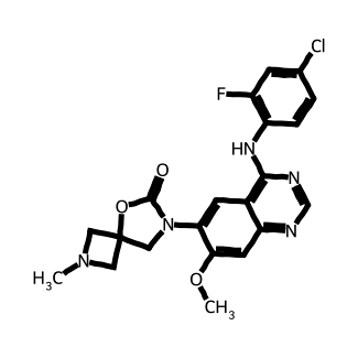 COc1cc2ncnc(Nc3ccc(Cl)cc3F)c2cc1N1CC2(CN(C)C2)OC1=O